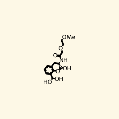 COCCOCC(=O)N[C@H]1Cc2cccc(C(O)O)c2OB1O